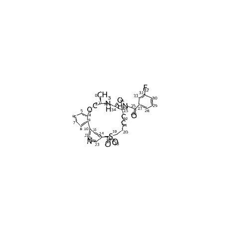 C[C@@H]1COc2ccccc2-c2cncc(c2)S(=O)(=O)CCCC[C@H](NC(=O)c2cccc(F)c2)C(=O)N1